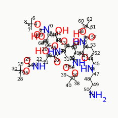 CN(C(=O)OC(C)(C)C)[C@@H]1[C@@H](O)[C@@H](O[C@H]2[C@H](NC(=O)[C@@H](O)CCNC(=O)OC(C)(C)C)C[C@H](NC(=O)OC(C)(C)C)C([C@H]3OC(CNCCCCN)=CC[C@H]3NC(=O)OC(C)(C)C)[C@@H]2O)OC[C@]1(C)O